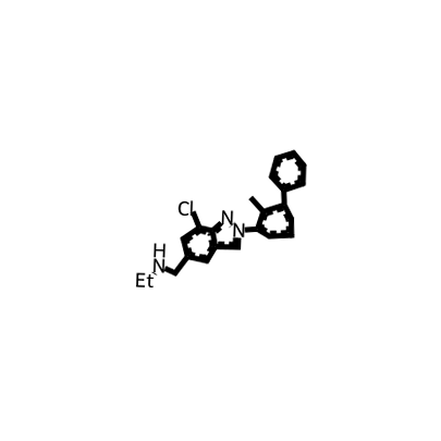 CCNCc1cc(Cl)c2nn(-c3cccc(-c4ccccc4)c3C)cc2c1